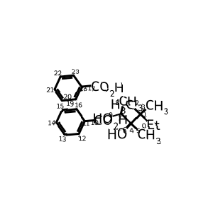 CCC(C)(C)C(C)(O)C(C)O.O=C(O)c1ccccc1.O=C(O)c1ccccc1